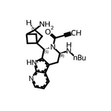 C#CC(=O)N1[C@@H](NCCCC)Cc2c([nH]c3ncccc23)[C@@H]1C12CC(C1)[C@@H](N)C2